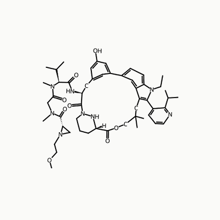 CCn1c(-c2cccnc2C(C)C)c2c3cc(ccc31)-c1cc(O)cc(c1)C[C@H](NC(=O)[C@H](C(C)C)N(C)C(=O)CN(C)C(=O)[C@@H]1CN1CCOC)C(=O)N1CCC[C@H](N1)C(=O)OCC(C)(C)C2